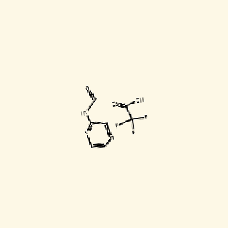 O=C(O)C(F)(F)F.O=CNc1cnccn1